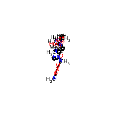 C=NCCOCCOCCOCCN(C)C[C@@H](Cc1ccccc1)NC(=O)c1cc(-c2cccc(CN3O[C@@H](CO)[C@@H]([C@H](C)O)[C@H]3C(=O)N[C@H]3C[C@H]4C[C@@H]([C@@H]3C)C4(C)C)c2OC)cc(N(C)C)c1